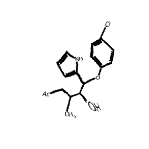 CC(=O)CC(C)C(O)C(Oc1ccc(Cl)cc1)c1ccc[nH]1